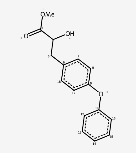 COC(=O)C(O)Cc1ccc(Oc2ccccc2)cc1